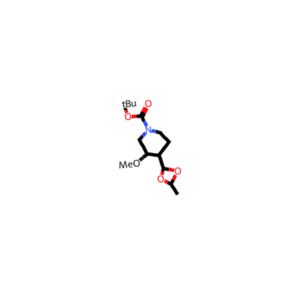 COC1CN(C(=O)OC(C)(C)C)CCC1C1OC(C)O1